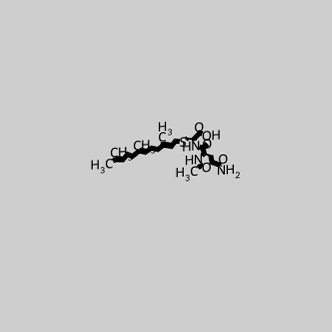 CC(=O)N[C@H](CCC(N)=O)C(=O)N[C@@H](CSC/C=C(\C)CC/C=C(\C)CCC=C(C)C)C(=O)O